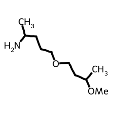 COC(C)CCOCCCC(C)N